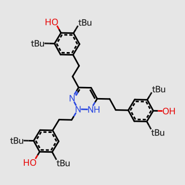 CC(C)(C)c1cc(CCC2=CC(CCc3cc(C(C)(C)C)c(O)c(C(C)(C)C)c3)=NN(CCc3cc(C(C)(C)C)c(O)c(C(C)(C)C)c3)N2)cc(C(C)(C)C)c1O